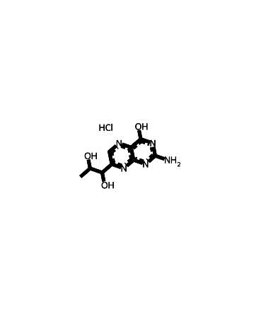 CC(O)C(O)c1cnc2c(O)nc(N)nc2n1.Cl